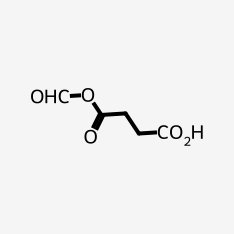 O=COC(=O)CCC(=O)O